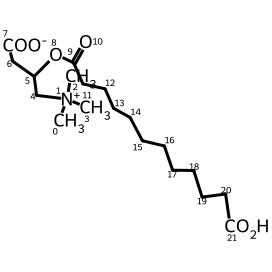 C[N+](C)(C)CC(CC(=O)[O-])OC(=O)CCCCCCCCCCC(=O)O